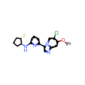 CC(C)Oc1cc2ncc(-c3cccc(N[C@H]4CCC[C@@H]4F)n3)n2cc1Cl